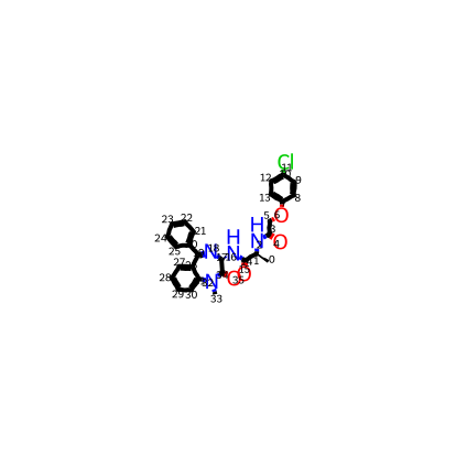 C[C@H](NC(=O)COc1ccc(Cl)cc1)C(=O)N[C@H]1N=C(c2ccccc2)c2ccccc2N(C)C1=O